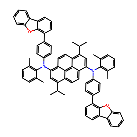 Cc1cccc(C)c1N(c1ccc(-c2cccc3c2oc2ccccc23)cc1)c1cc(C(C)C)c2ccc3c(N(c4ccc(-c5cccc6c5oc5ccccc56)cc4)c4c(C)cccc4C)cc(C(C)C)c4ccc1c2c43